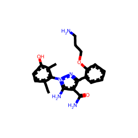 Cc1ccc(O)c(C)c1-n1nc(-c2ccccc2OCCCN)c(C(N)=O)c1N